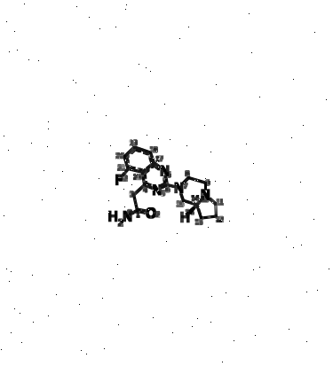 NC(=O)Cc1nc(N2CCN3CCC[C@@H]3C2)nc2cccc(F)c12